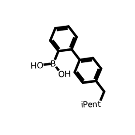 CCCC(C)Cc1ccc(-c2ccccc2B(O)O)cc1